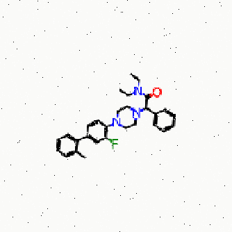 CCN(CC)C(=O)C(c1ccccc1)N1CCN(c2ccc(-c3ccccc3C)cc2F)CC1